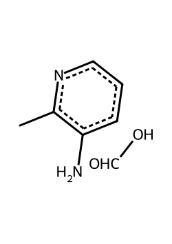 Cc1ncccc1N.O=CO